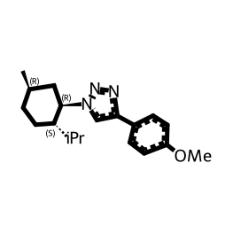 COc1ccc(-c2cn([C@@H]3C[C@H](C)CC[C@H]3C(C)C)nn2)cc1